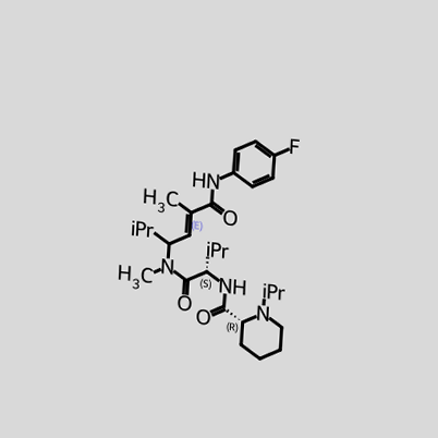 C/C(=C\C(C(C)C)N(C)C(=O)[C@@H](NC(=O)[C@H]1CCCCN1C(C)C)C(C)C)C(=O)Nc1ccc(F)cc1